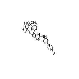 CCCc1cc2cnc(Nc3ccc(N4CCN(C5CC5)CC4)cc3)nc2n1-c1cccc(C(C)(C)O)n1